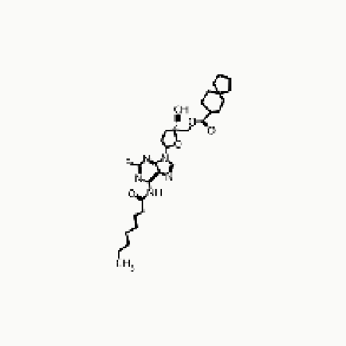 C#C[C@@]1(COC(=O)C2CCC3(CCCC3)CC2)CC[C@H](n2cnc3c(NC(=O)CCCCCCC)nc(F)nc32)O1